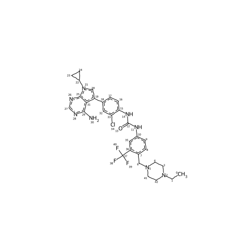 CCN1CCN(Cc2ccc(NC(=O)Nc3ccc(-c4cn(C5CC5)c5ncnc(N)c45)cc3Cl)cc2C(F)(F)F)CC1